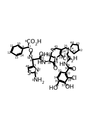 Nc1nc(/C(=N/O[C@H](C(=O)O)c2ccccc2)C(=O)N[C@@H]2C(=O)N3C(C(=O)O)=C(C[N+]4(CCNC(=O)c5ccc(O)c(O)c5Cl)CCCC4)CS[C@H]23)cs1